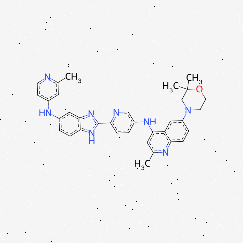 Cc1cc(Nc2ccc3[nH]c(-c4ccc(Nc5cc(C)nc6ccc(N7CCOC(C)(C)C7)cc56)cn4)nc3c2)ccn1